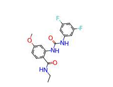 CCNC(=O)c1ccc(OC)cc1NC(=O)Nc1cc(F)cc(F)c1